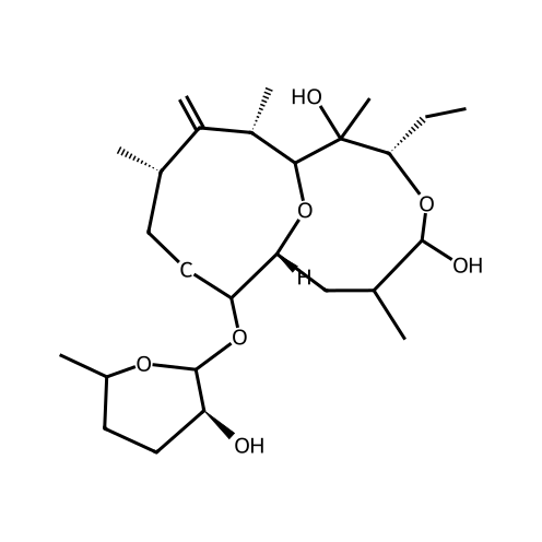 C=C1[C@@H](C)CCC(OC2OC(C)CC[C@@H]2O)[C@H]2CC(C)C(O)O[C@@H](CC)C(C)(O)C(O2)[C@H]1C